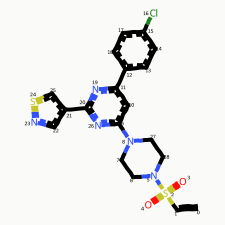 C=CS(=O)(=O)N1CCN(c2cc(-c3ccc(Cl)cc3)nc(-c3cnsc3)n2)CC1